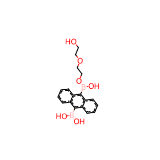 OCCOCCOB(O)c1c2ccccc2c(B(O)O)c2ccccc12